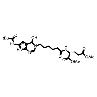 COC(=O)CC[C@@H](NC(=O)CCCCCN1C=Nc2[nH]c(NC(=O)C(C)(C)C)cc2C1O)C(=O)OC